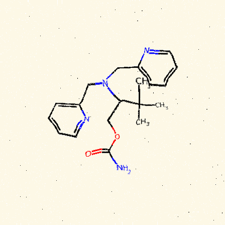 CC(C)(C)C(COC(N)=O)N(Cc1ccccn1)Cc1ccccn1